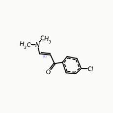 CN(C)/C=C/C(=O)c1ccc(Cl)cc1